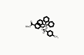 COC(=O)c1ccc(CP(OS(=O)(=O)c2ccc(C)cc2)(c2ccccc2)(c2ccccc2)c2ccccc2)cc1